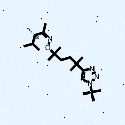 CC(=NOC(C)(C)CCC(C)(C)c1cn(C(C)(C)C)nn1)[C@@H](C)C(C)C